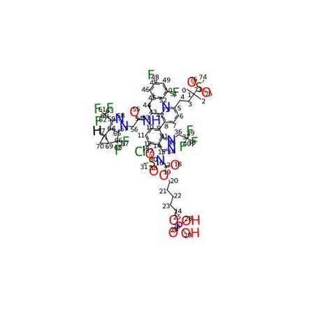 CC(C)(CCc1ccc(-c2ccc(Cl)c3c(N(C(=O)OCCCCCOP(=O)(O)O)S(C)(=O)=O)nn(CC(F)(F)F)c23)c([C@H](Cc2cc(F)cc(F)c2)NC(=O)Cn2nc(C(F)(F)F)c3c2C(F)(F)C2C[C@H]32)n1)S(C)(=O)=O